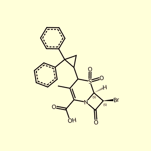 CC1=C(C(=O)O)N2C(=O)[C@H](Br)[C@@H]2S(=O)(=O)C1C1CC1(c1ccccc1)c1ccccc1